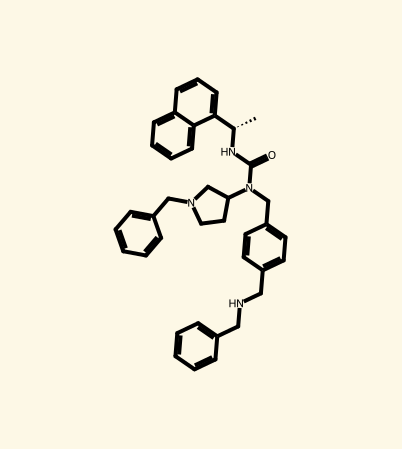 C[C@H](NC(=O)N(Cc1ccc(CNCc2ccccc2)cc1)C1CCN(Cc2ccccc2)C1)c1cccc2ccccc12